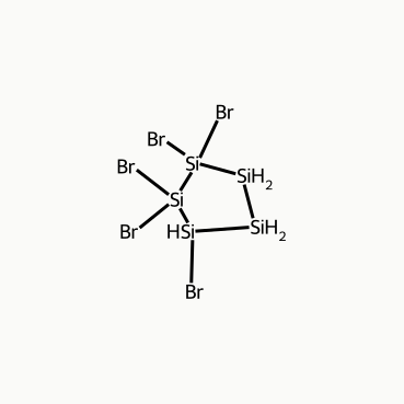 Br[SiH]1[SiH2][SiH2][Si](Br)(Br)[Si]1(Br)Br